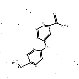 CNC(=O)c1cc(Oc2ccc(NC(=O)O)cc2)ccn1